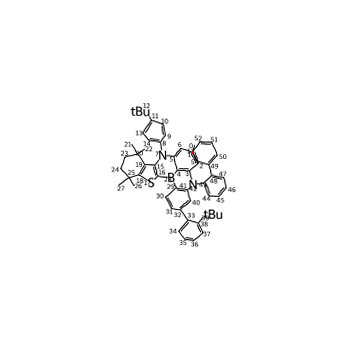 Cc1cc2c3c(c1)N(c1ccc(C(C)(C)C)cc1)c1c(sc4c1C(C)(C)CCC4(C)C)B3c1ccc(-c3ccccc3C(C)(C)C)cc1N2c1ccccc1-c1ccccc1